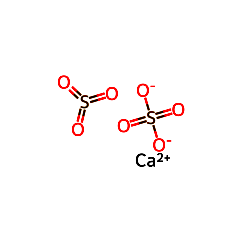 O=S(=O)([O-])[O-].O=S(=O)=O.[Ca+2]